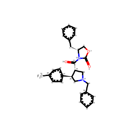 O=C1OC[C@@H](Cc2ccccc2)N1C(=O)[C@@H]1CN(Cc2ccccc2)C[C@H]1c1ccc(C(F)(F)F)cc1